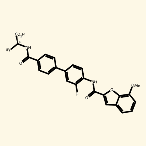 COc1cccc2cc(C(=O)Nc3ccc(-c4ccc(C(=O)N[C@H](C(=O)O)C(C)C)cc4)cc3F)oc12